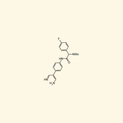 CNC(C(=O)Nc1ccc(/C(C=N)=C/N)cc1)c1ccc(F)cc1